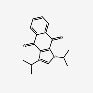 CC(C)n1c[n+](C(C)C)c2c1C(=O)c1ccccc1C2=O